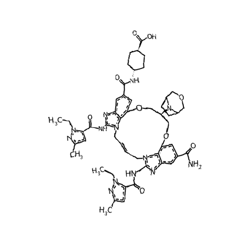 CCn1nc(C)cc1C(=O)Nc1nc2cc(C(N)=O)cc3c2n1C/C=C/Cn1c(NC(=O)c2cc(C)nn2CC)nc2cc(C(=O)N[C@H]4CC[C@H](C(=O)O)CC4)cc(c21)OC[C@@H](N1C2CCC1COC2)CO3